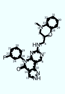 CN1CC(CNc2ncc3c4n[nH]cc4c(=O)n(-c4cccc(F)c4)c3n2)Oc2ccccc21